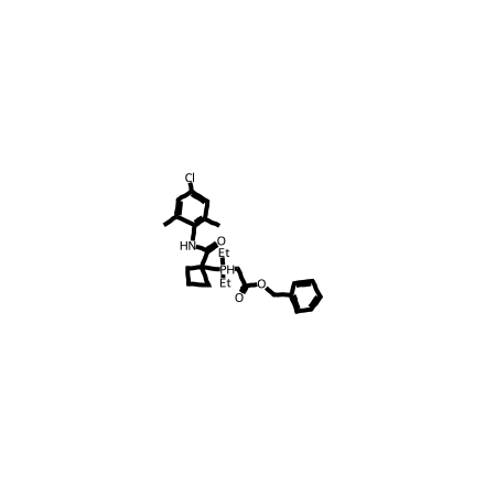 CC[PH](CC)(CC(=O)OCc1ccccc1)C1(C(=O)Nc2c(C)cc(Cl)cc2C)CCC1